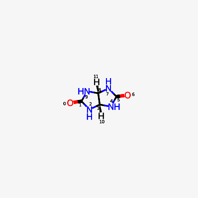 O=C1N[C@H]2NC(=O)N[C@H]2N1